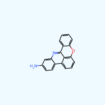 Nc1ccc2c(c1)nc1c3c(cccc32)Oc2ccccc2-1